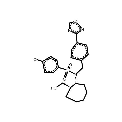 O=S(=O)(c1ccc(Cl)cc1)N(Cc1ccc(-c2ncon2)cc1)[C@@H]1CCCCC[C@H]1CO